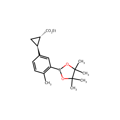 CCOC(=O)[C@H]1C[C@@H]1c1ccc(C)c(B2OC(C)(C)C(C)(C)O2)c1